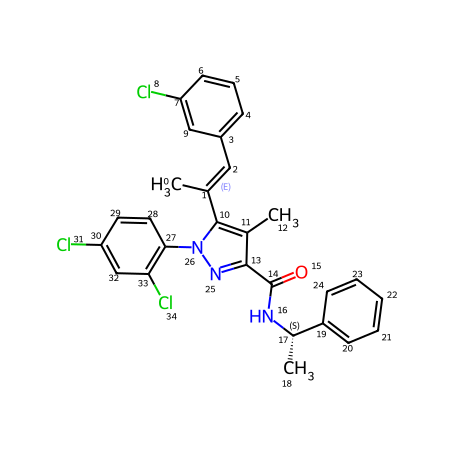 C/C(=C\c1cccc(Cl)c1)c1c(C)c(C(=O)N[C@@H](C)c2ccccc2)nn1-c1ccc(Cl)cc1Cl